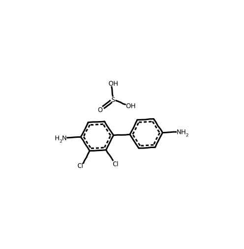 Nc1ccc(-c2ccc(N)c(Cl)c2Cl)cc1.O=S(O)O